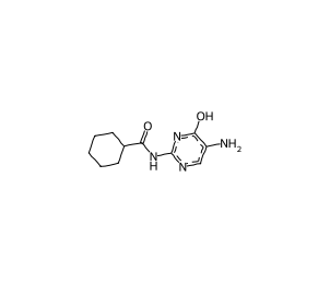 Nc1cnc(NC(=O)C2CCCCC2)nc1O